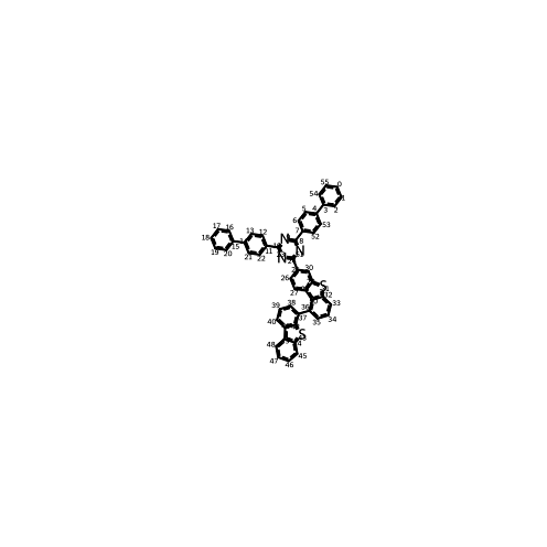 c1ccc(-c2ccc(-c3nc(-c4ccc(-c5ccccc5)cc4)nc(-c4ccc5c(c4)sc4cccc(-c6cccc7c6sc6ccccc67)c45)n3)cc2)cc1